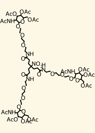 CC(=O)NC1C(OCCOCCOCCNC(=O)CCC(CCC(=O)NCCOCCOCCOC2OC(COC(C)=O)C(OC(C)=O)C(OC(C)=O)C2NC(C)=O)(CCC(=O)NCCOCCOCCOC2OC(COC(C)=O)C(OC(C)=O)C(OC(C)=O)C2NC(C)=O)[N+](=O)[O-])OC(COC(C)=O)C(OC(C)=O)C1OC(C)=O